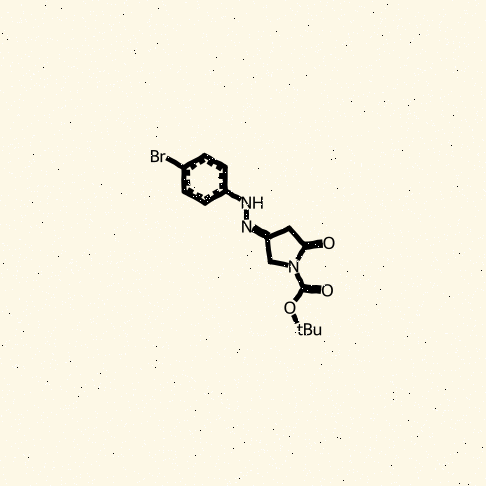 CC(C)(C)OC(=O)N1C/C(=N/Nc2ccc(Br)cc2)CC1=O